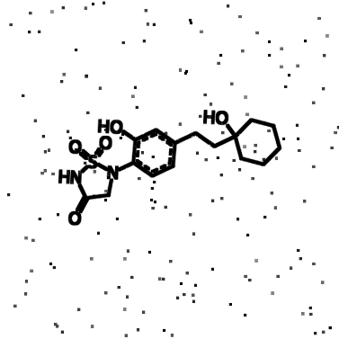 O=C1CN(c2ccc(CCC3(O)CCCCC3)cc2O)S(=O)(=O)N1